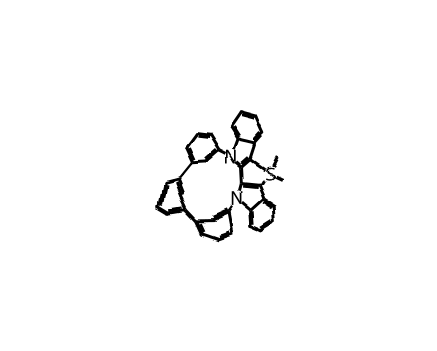 CS1(C)c2c3ccccc3n3c4cccc(c4)c4cccc(c4)c4cccc(c4)n4c5ccccc5c1c4c23